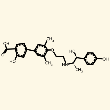 Cc1cc(-c2ccc(C(=O)O)c(O)c2)cc(C)c1OCCN[C@@H](C)[C@@H](O)c1ccc(O)cc1